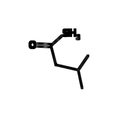 CC(C)CC(=O)[SiH3]